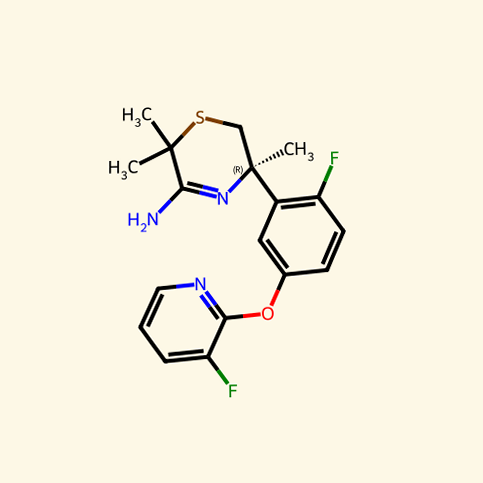 CC1(C)SC[C@@](C)(c2cc(Oc3ncccc3F)ccc2F)N=C1N